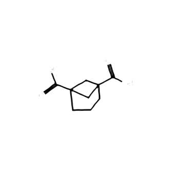 O=C(O)C12CCCC(C(=O)O)(C1)C2